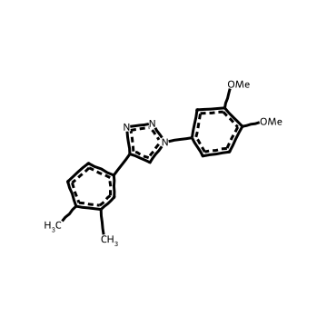 COc1ccc(-n2cc(-c3ccc(C)c(C)c3)nn2)cc1OC